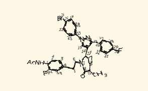 CC(=O)Nc1ccc(CCN2C(=O)[C@H](C)O[C@@H]2c2cn(-c3ccc(Br)cc3)nc2-c2ccc(F)cc2)cc1F